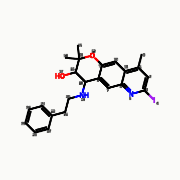 Cc1cc(I)nc2cc3c(cc12)OC(C)(C)C(O)C3NCCc1ccccc1